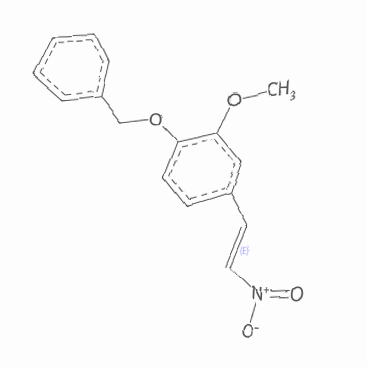 COc1cc(/C=C/[N+](=O)[O-])ccc1OCc1ccccc1